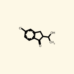 CC(O)C1Cc2cc(Cl)ccc2C1=O